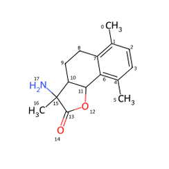 Cc1ccc(C)c2c1CCC1C2OC(=O)C1(C)N